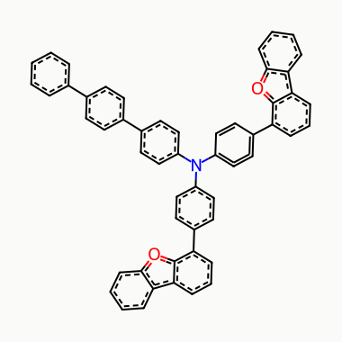 C1=C=C(N(c2ccc(-c3ccc(-c4ccccc4)cc3)cc2)c2ccc(-c3cccc4c3oc3ccccc34)cc2)C=CC=1c1cccc2c1oc1ccccc12